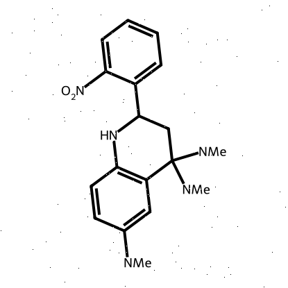 CNc1ccc2c(c1)C(NC)(NC)CC(c1ccccc1[N+](=O)[O-])N2